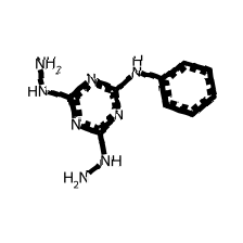 NNc1nc(NN)nc(Nc2ccccc2)n1